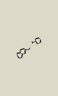 O=C(N/N=C/c1ccc2ccccc2c1)c1ccccc1